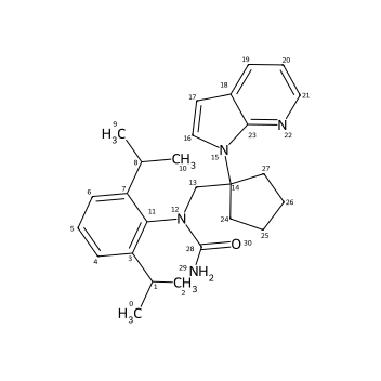 CC(C)c1cccc(C(C)C)c1N(CC1(n2ccc3cccnc32)CCCC1)C(N)=O